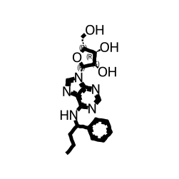 CCCC(Nc1ncnc2c1ncn2[C@@H]1O[C@H](CO)[C@H](O)[C@@H]1O)c1ccccc1